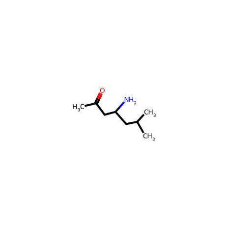 CC(=O)CC(N)CC(C)C